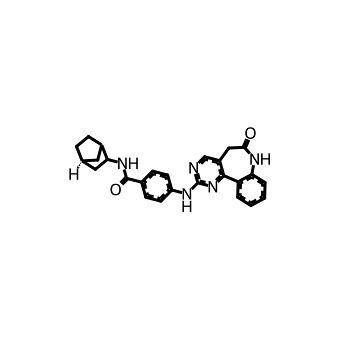 O=C1Cc2cnc(Nc3ccc(C(=O)NC4C[C@H]5CCC4C5)cc3)nc2-c2ccccc2N1